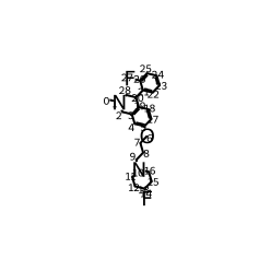 CN1Cc2cc(OCCCN3CCC(F)CC3)ccc2C(c2ccccc2F)C1